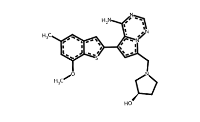 COc1cc(C)cc2cc(-c3cc(CN4CC[C@@H](O)C4)n4ncnc(N)c34)sc12